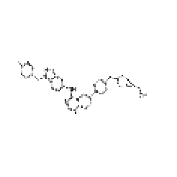 Cc1ccc(Cn2ncc3cc(Nc4ncnc5ccc(-c6ccc(CN7CC8C(CO)C8C7)cc6)cc45)ccc32)cc1